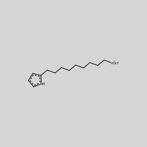 CCCCCCCCCCCCCCCCCc1ccc[nH]1